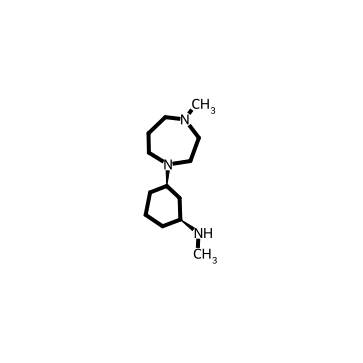 CN[C@H]1CCC[C@@H](N2CCCN(C)CC2)C1